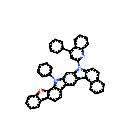 c1ccc(-c2cc(-n3c4cc5c(cc4c4c6ccccc6ccc43)c3ccc4c6ccccc6oc4c3n5-c3ccccc3)nc3ccccc23)cc1